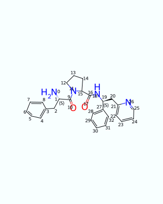 N[C@@H](Cc1ccccc1)C(=O)N1CCCC1C(=O)N[C@@H](Cc1ccccn1)c1ccccc1